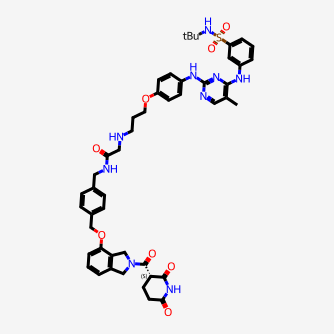 Cc1cnc(Nc2ccc(OCCCNCC(=O)NCc3ccc(COc4cccc5c4CN(C(=O)[C@H]4CCC(=O)NC4=O)C5)cc3)cc2)nc1Nc1cccc(S(=O)(=O)NC(C)(C)C)c1